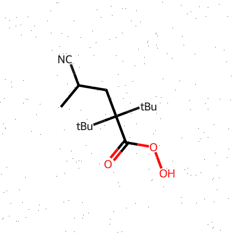 CC(C#N)CC(C(=O)OO)(C(C)(C)C)C(C)(C)C